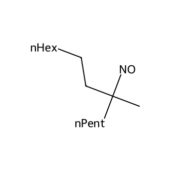 CCCCCCCCC(C)(CCCCC)N=O